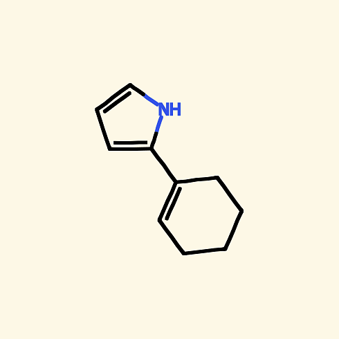 C1=C(c2ccc[nH]2)CCCC1